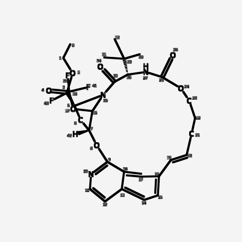 CCOC(=O)[C@@H]1C[C@H]2Oc3nccc4ccc(cc34)/C=C/CCCOC(=O)N[C@@H](C(C)(C)C)C(=O)N1C2OC(F)(F)F